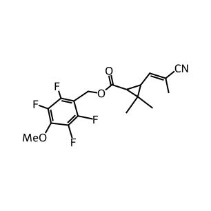 COc1c(F)c(F)c(COC(=O)C2C(C=C(C)C#N)C2(C)C)c(F)c1F